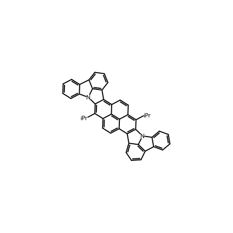 CC(C)c1c2ccc3c4c(ccc(c24)c2c4cccc5c6ccccc6n(c12)c54)c(C(C)C)c1c3c2cccc3c4ccccc4n1c32